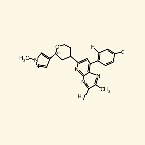 Cc1nc2nc(C3CCO[C@H](c4cnn(C)c4)C3)cc(-c3ccc(Cl)cc3F)c2nc1C